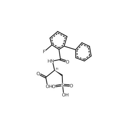 O=C(N[C@@H](CS(=O)(=O)O)C(=O)O)c1c(F)cccc1-c1ccccc1